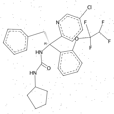 O=C(NC1CCCC1)N[C@@](Cc1ccccc1)(c1ccc(Cl)cn1)c1ccccc1OC(F)(F)C(F)F